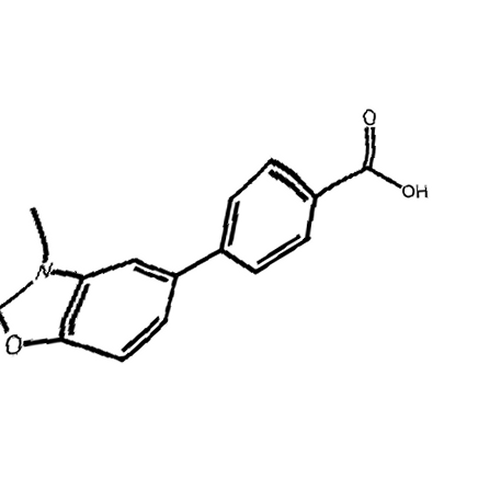 CN1COc2ccc(-c3ccc(C(=O)O)cc3)cc21